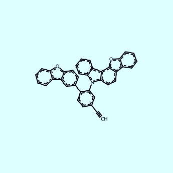 C#Cc1ccc(-c2ccc3oc4ccccc4c3c2)c(-n2c3ccccc3c3c4oc5ccccc5c4ccc32)c1